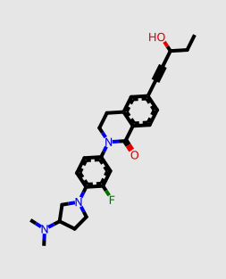 CCC(O)C#Cc1ccc2c(c1)CCN(c1ccc(N3CCC(N(C)C)C3)c(F)c1)C2=O